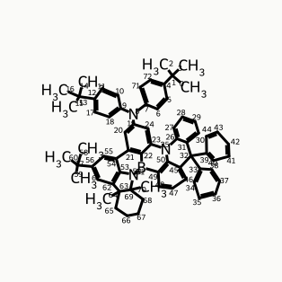 CC(C)(C)c1ccc(N(c2ccc(C(C)(C)C)cc2)c2cc3c4c(c2)N2c5ccccc5C(c5ccccc5)(c5ccccc5)c5cccc(c52)B4N2c4c-3cc(C(C)(C)C)cc4C3(C)CCCCC23C)cc1